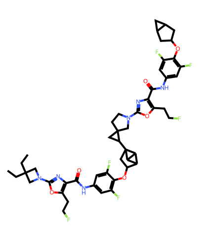 CCC1(CC)CN(c2nc(C(=O)Nc3cc(F)c(OC4CC5(C6CC67CCN(c6nc(C(=O)Nc8cc(F)c(OC9CC%10CC%10C9)c(F)c8)c(CCF)o6)C7)C6C4C65)c(F)c3)c(CCF)o2)C1